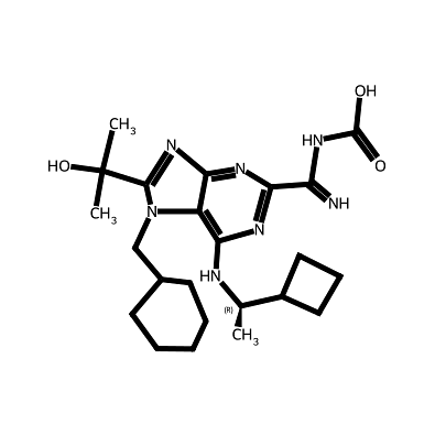 C[C@@H](Nc1nc(C(=N)NC(=O)O)nc2nc(C(C)(C)O)n(CC3CCCCC3)c12)C1CCC1